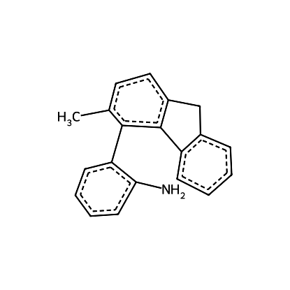 Cc1ccc2c(c1-c1ccccc1N)-c1ccccc1C2